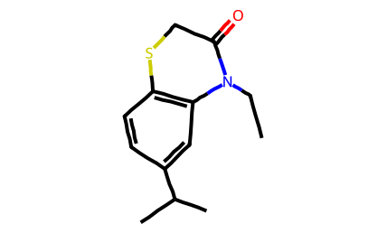 CCN1C(=O)CSc2ccc(C(C)C)cc21